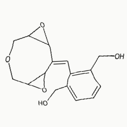 OCc1cccc(CO)c1C=C1C2OC2COCC2OC12